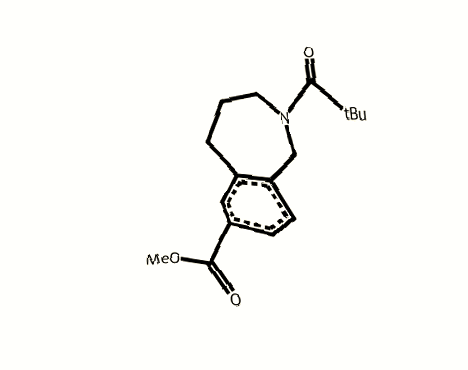 COC(=O)c1ccc2c(c1)CCCN(C(=O)C(C)(C)C)C2